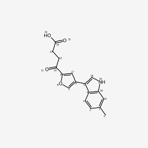 Cc1ccc2c(-c3coc(C(=O)CCC(=O)O)c3)c[nH]c2c1